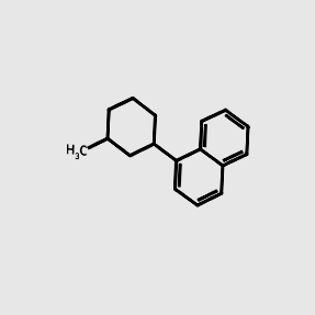 CC1CCCC(c2cccc3ccccc23)C1